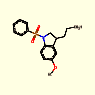 CCOc1ccc2c(c1)C(CCC(=O)O)CN2S(=O)(=O)c1ccccc1